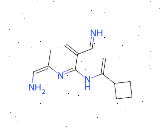 C=C(C=N)/C(=N\C(C)=C/N)NC(=C)C1CCC1